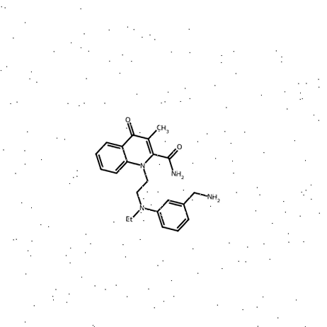 CCN(CCn1c(C(N)=O)c(C)c(=O)c2ccccc21)c1cccc(CN)c1